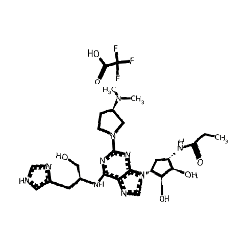 CCC(=O)N[C@H]1C[C@@H](n2cnc3c(N[C@H](CO)Cc4c[nH]cn4)nc(N4CC[C@@H](N(C)C)C4)nc32)[C@H](O)[C@@H]1O.O=C(O)C(F)(F)F